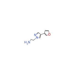 NCCn1cc(-c2ccoc2)cn1